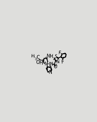 CC(O)[C@H]1C[C@H](N)CN(c2ccncc2NC(=O)c2csc(-c3c(F)cccc3F)n2)C1